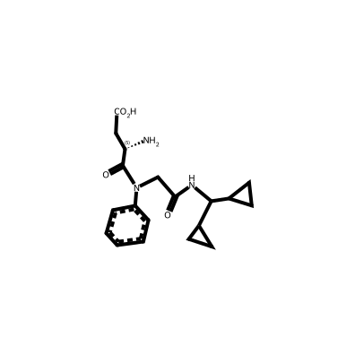 N[C@@H](CC(=O)O)C(=O)N(CC(=O)NC(C1CC1)C1CC1)c1ccccc1